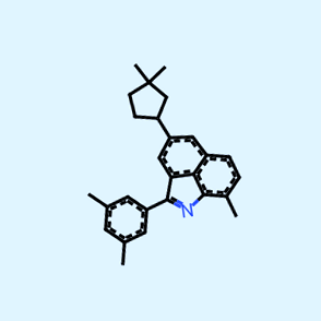 Cc1cc(C)cc(C2=Nc3c(C)ccc4cc(C5CCC(C)(C)C5)cc2c34)c1